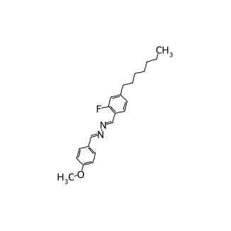 CCCCCCCc1ccc(C=NN=Cc2ccc(OC)cc2)c(F)c1